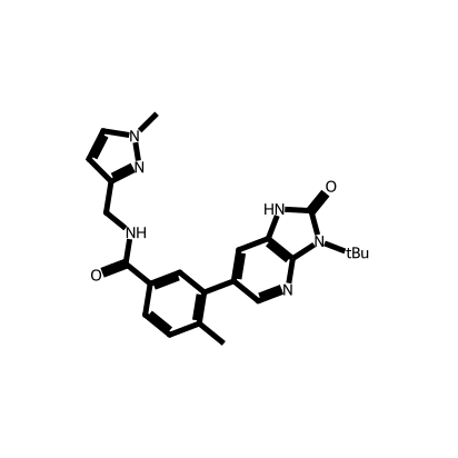 Cc1ccc(C(=O)NCc2ccn(C)n2)cc1-c1cnc2c(c1)[nH]c(=O)n2C(C)(C)C